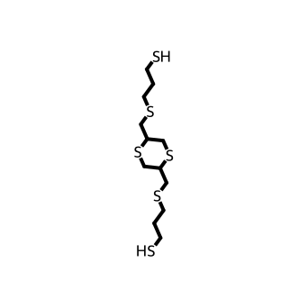 SCCCSCC1CSC(CSCCCS)CS1